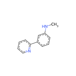 CNc1cccc(-c2ccccn2)c1